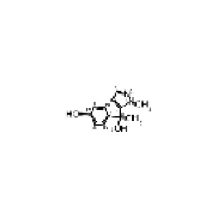 Cn1nccc1C(C)(O)c1ccc(O)cc1